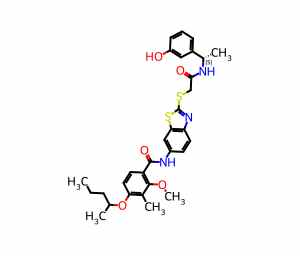 CCCC(C)Oc1ccc(C(=O)Nc2ccc3nc(SCC(=O)N[C@@H](C)c4cccc(O)c4)sc3c2)c(OC)c1C